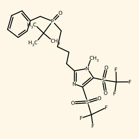 Cn1c(CCCCP(=O)(Cc2ccccc2)C(C)(C)C)nc(S(=O)(=O)C(F)(F)F)c1S(=O)(=O)C(F)(F)F